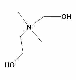 C[N+](C)(CO)CCO